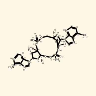 BP1(=O)OC[C@H]2O[C@@H](n3cnc4c(N)ncnc43)[C@H](F)[C@@H]2OP(=O)(O)OC[C@H]2O[C@@H](n3cnc4c(N)ccnc43)[C@H](O1)[C@@H]2F